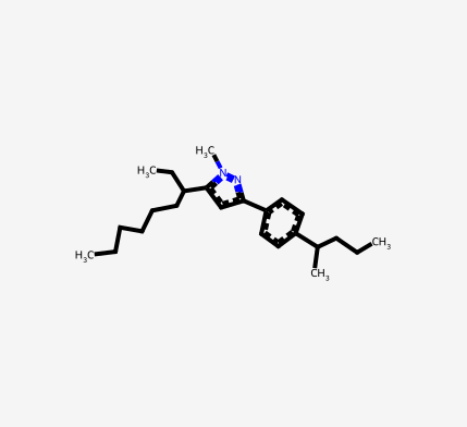 CCCCCCC(CC)c1cc(-c2ccc(C(C)CCC)cc2)nn1C